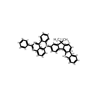 CC1(C)c2cc(N3c4ccccc4-c4nc(-c5ccccc5)nc5cccc3c45)ccc2-c2c1ccc1c2sc2ccccc21